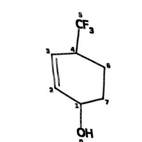 OC1C=CC(C(F)(F)F)CC1